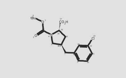 CC(C)(C)OC(=O)N1C[C@H](Cc2cccc(Cl)c2)C[C@H]1C(=O)O